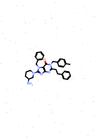 Cc1ccc(Cn2c(CCc3ccccc3)nc3nc(N4CCCC(N)C4)n(Cc4ccccc4)c3c2=O)cc1